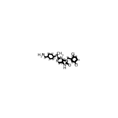 CN(c1ncc2[nH]c(=O)n(Cc3cc(Cl)ccc3Cl)c2n1)C1CCC(CN)CC1